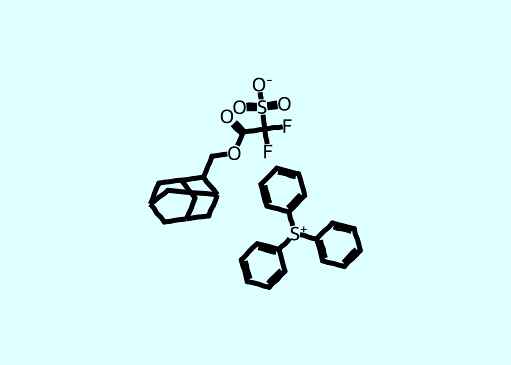 O=C(OCC1C2CC3CC(C2)CC1C3)C(F)(F)S(=O)(=O)[O-].c1ccc([S+](c2ccccc2)c2ccccc2)cc1